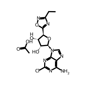 CC(=O)O.CCc1noc([C@H]2O[C@@H](n3cnc4c(N)nc(Cl)nc43)[C@H](O)[C@@H]2O)n1